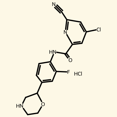 Cl.N#Cc1cc(Cl)cc(C(=O)Nc2ccc(C3CNCCO3)cc2F)n1